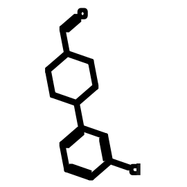 O=CC1CCC(c2cccc(Cl)c2)CC1